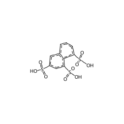 O=S(=O)(O)c1cc(S(=O)(=O)O)c2c(S(=O)(=O)O)cccc2c1